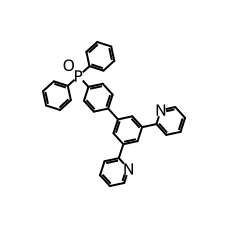 O=P(c1ccccc1)(c1ccccc1)c1ccc(-c2cc(-c3ccccn3)cc(-c3ccccn3)c2)cc1